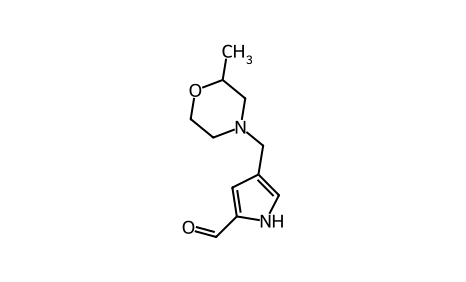 CC1CN(Cc2c[nH]c(C=O)c2)CCO1